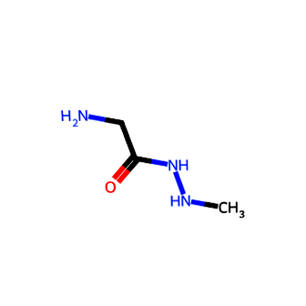 CNNC(=O)CN